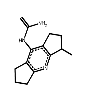 C=C(N)Nc1c2c(nc3c1CCC3C)CCC2